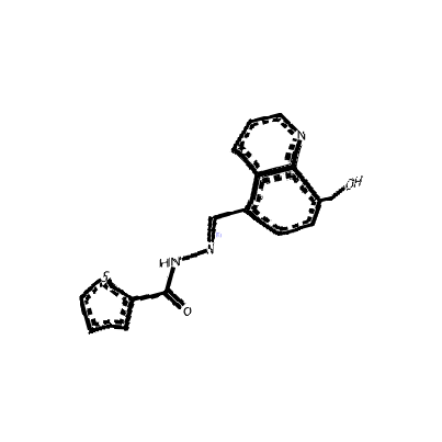 O=C(N/N=C/c1ccc(O)c2ncccc12)c1cccs1